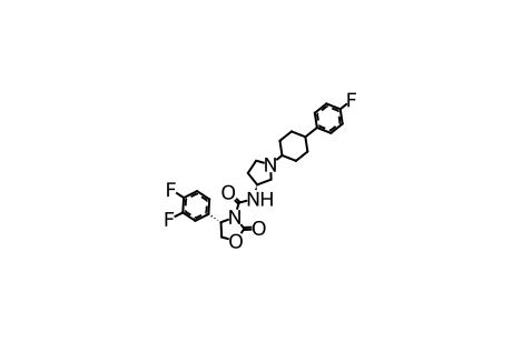 O=C(N[C@@H]1CCN(C2CCC(c3ccc(F)cc3)CC2)C1)N1C(=O)OC[C@@H]1c1ccc(F)c(F)c1